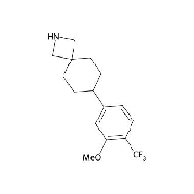 COc1cc(C2CCC3(CC2)CNC3)ccc1C(F)(F)F